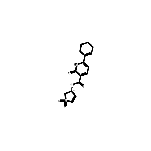 O=C(N[C@@H]1C=CS(=O)(=O)C1)c1ccc(C2=CCCCC2)[nH]c1=O